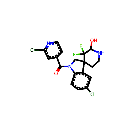 O=C(c1ccnc(Cl)c1)N1CC2(CCNC(O)C2(F)F)c2cc(Cl)ccc21